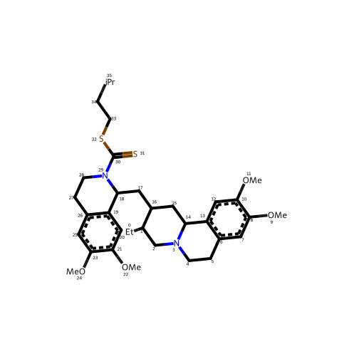 CCC1CN2CCc3cc(OC)c(OC)cc3C2CC1CC1c2cc(OC)c(OC)cc2CCN1C(=S)SCCC(C)C